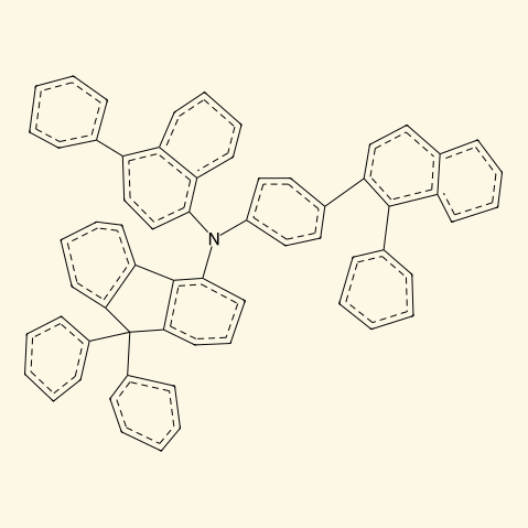 c1ccc(-c2c(-c3ccc(N(c4cccc5c4-c4ccccc4C5(c4ccccc4)c4ccccc4)c4ccc(-c5ccccc5)c5ccccc45)cc3)ccc3ccccc23)cc1